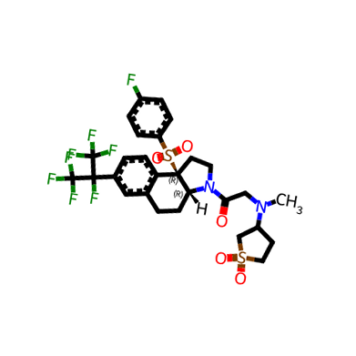 CN(CC(=O)N1CC[C@@]2(S(=O)(=O)c3ccc(F)cc3)c3ccc(C(F)(C(F)(F)F)C(F)(F)F)cc3CC[C@@H]12)C1CCS(=O)(=O)C1